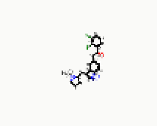 CN1CCCC1Cc1c[nH]c2ccc(CC(=O)c3cccc(F)c3F)cc12